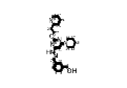 OCc1cccc(/C=N/Nc2cc(N3CCCCC3)nc(OCCc3ccccn3)n2)c1